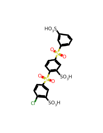 O=S(=O)(O)c1cccc(S(=O)(=O)c2ccc(S(=O)(=O)c3ccc(Cl)c(S(=O)(=O)O)c3)c(S(=O)(=O)O)c2)c1